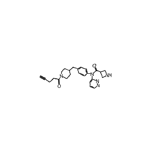 C#CCCC(=O)N1CCC(Cc2ccc(N(C(=O)C3CNC3)c3cccnn3)cc2)CC1